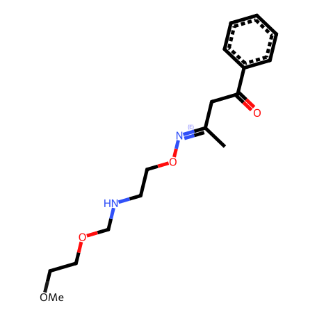 COCCOCNCCO/N=C(\C)CC(=O)c1ccccc1